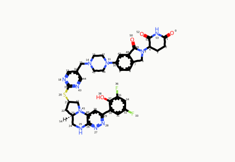 O=C1CCC(N2Cc3ccc(N4CCN(Cc5cnc(S[C@@H]6C[C@@H]7CNc8nnc(-c9cc(F)cc(F)c9O)cc8N7C6)nc5)CC4)cc3C2=O)C(=O)N1